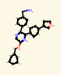 NCc1ccc(-c2ncc(OCc3ccccc3)nc2-c2ccc(-c3ccoc3)cc2)cc1